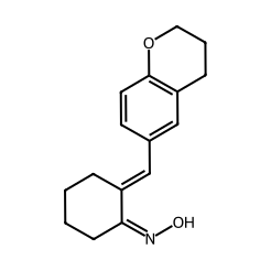 O/N=C1/CCCC/C1=C\c1ccc2c(c1)CCCO2